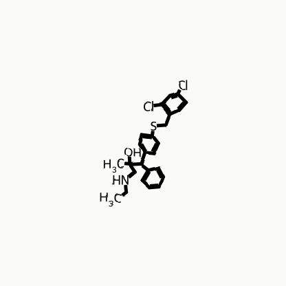 CCNCC(C)(O)C(c1ccccc1)c1ccc(SCc2ccc(Cl)cc2Cl)cc1